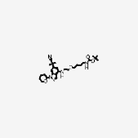 CC(C)(C)OC(=O)NCCCCOCCNc1cc(C(C)(C)C#N)cc2c1cnn2C1CCCCO1